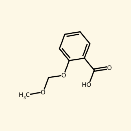 COCOc1ccccc1C(=O)O